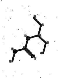 CCC(CC)OC(=O)OC